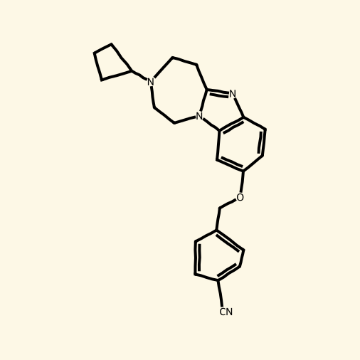 N#Cc1ccc(COc2ccc3nc4n(c3c2)CCN(C2CCC2)CC4)cc1